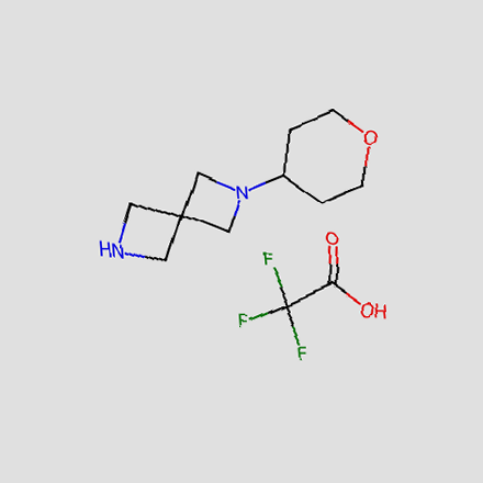 C1CC(N2CC3(CNC3)C2)CCO1.O=C(O)C(F)(F)F